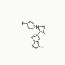 Cc1ncn(-c2ccc(F)cc2)c1-c1ccc2ncc(C)n2c1